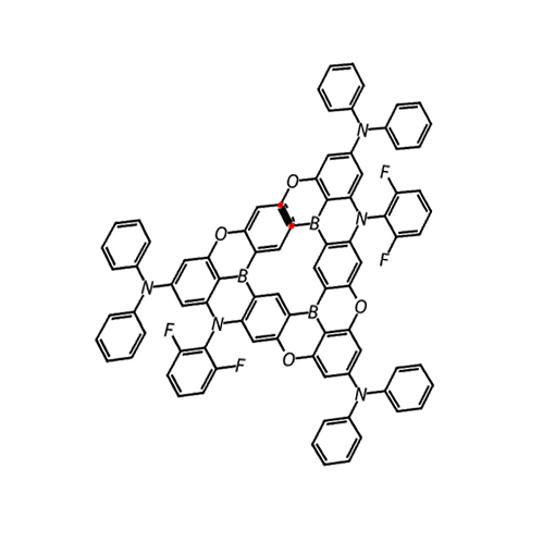 Fc1cccc(F)c1N1c2cc3c(cc2B2c4ccccc4Oc4cc(N(c5ccccc5)c5ccccc5)cc1c42)B1c2cc4c(cc2Oc2cc(N(c5ccccc5)c5ccccc5)cc(c21)O3)N(c1c(F)cccc1F)c1cc(N(c2ccccc2)c2ccccc2)cc2c1B4c1ccccc1O2